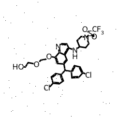 O=S(=O)(N1CCC(Nc2ccnc3c(OCCOCCO)cc(C(c4ccc(Cl)cc4)c4ccc(Cl)cc4)cc23)CC1)C(F)(F)F